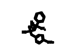 COc1ccc(CC(O)(CC(C)(C)c2ccccc2)C(=O)O)cc1